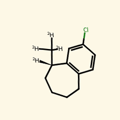 [2H]C([2H])([2H])[C@@]1([2H])CCCCc2ccc(Cl)cc21